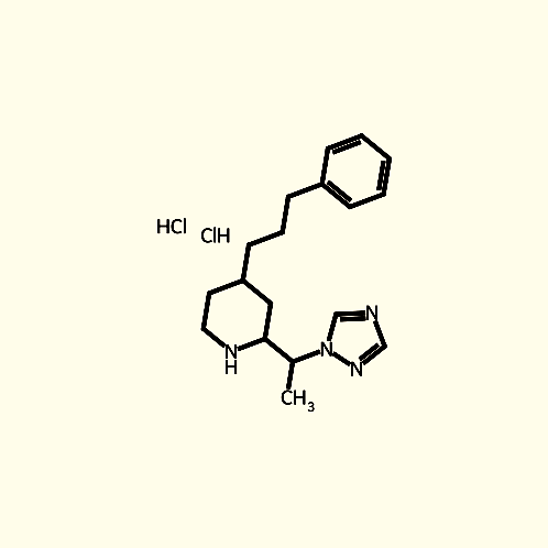 CC(C1CC(CCCc2ccccc2)CCN1)n1cncn1.Cl.Cl